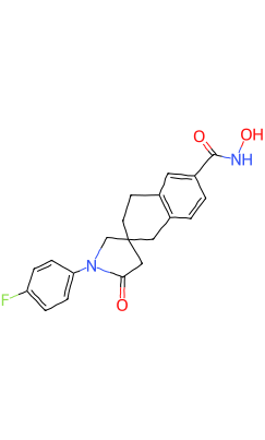 O=C(NO)c1ccc2c(c1)CCC1(CC(=O)N(c3ccc(F)cc3)C1)C2